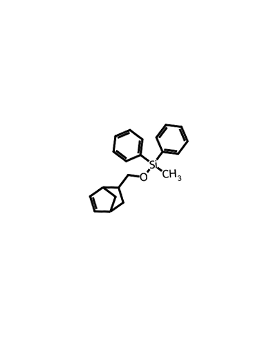 C[Si](OCC1CC2C=CC1C2)(c1ccccc1)c1ccccc1